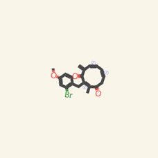 C=C1/C=C\C=C/CC(=O)/C(C)=C(/Cc2ccc(OC)cc2Br)C1=O